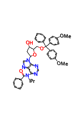 COc1ccc(C(OCC2OC(n3cnc4c(N(C(=O)c5ccccc5)C(C)C)ncnc43)CC2O)(c2ccccc2)c2ccc(OC)cc2)cc1